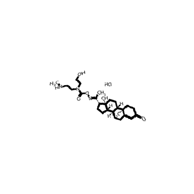 CNCCN(CCO)C(=O)O/N=C(\C)[C@H]1CC[C@H]2[C@@H]3CCC4=CC(=O)CC[C@]4(C)[C@H]3CC[C@]12C.Cl